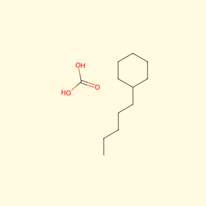 CCCCCC1CCCCC1.O=C(O)O